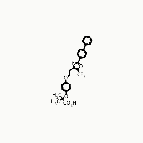 CC(C)(Oc1ccc(OCCc2nc(-c3ccc(-c4ccccc4)cc3)oc2C(F)(F)F)cc1)C(=O)O